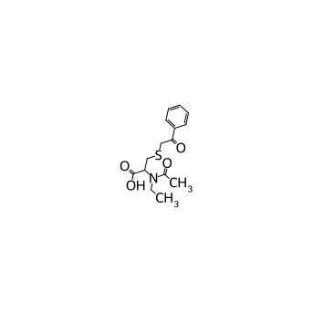 CCN(C(C)=O)C(CSCC(=O)c1ccccc1)C(=O)O